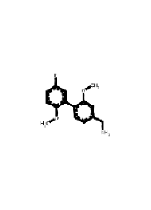 COc1cc(CN)ccc1-c1cc(F)ccc1OC